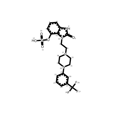 O=c1[nH]c2cccc(OS(=O)(=O)O)c2n1CCN1CCN(c2cccc(C(F)(F)F)c2)CC1